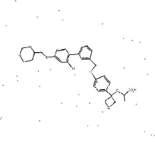 CC(OC1(c2ccc(OCc3cccc(-c4ccc(OCC5CCOCC5)cc4Cl)c3)cc2)COC1)C(=O)O